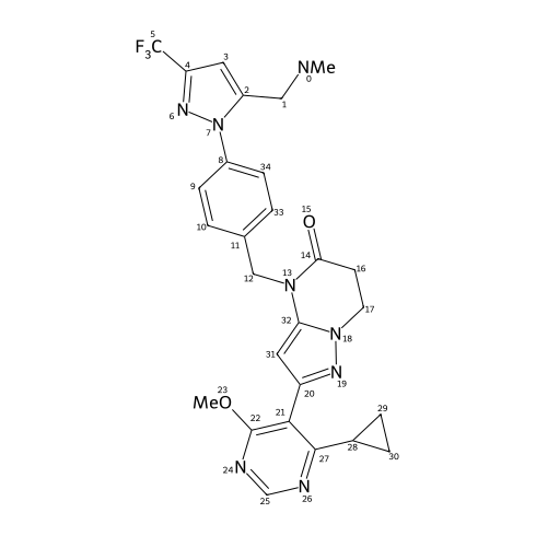 CNCc1cc(C(F)(F)F)nn1-c1ccc(CN2C(=O)CCn3nc(-c4c(OC)ncnc4C4CC4)cc32)cc1